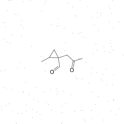 CC(=O)CC1(C=O)CC1C